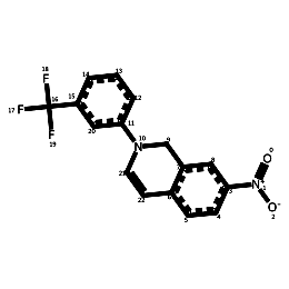 O=[N+]([O-])c1ccc2c(c1)CN(c1cccc(C(F)(F)F)c1)C=C2